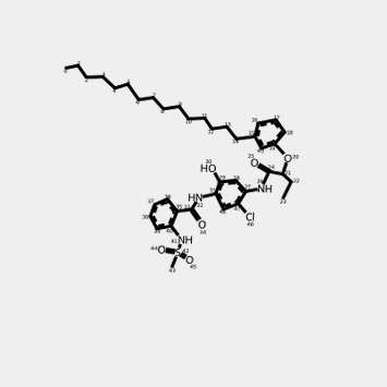 CCCCCCCCCCCCCCCc1cccc(OC(CC)C(=O)Nc2cc(O)c(NC(=O)c3ccccc3NS(C)(=O)=O)cc2Cl)c1